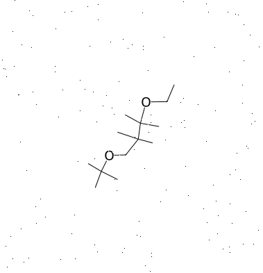 CCOC(C)(C)C(C)(C)COC(C)(C)C